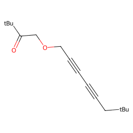 CC(C)(C)CC#CC#CCOCC(=O)C(C)(C)C